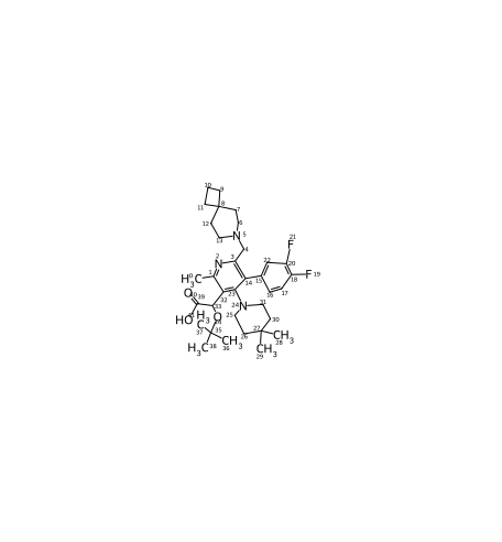 Cc1nc(CN2CCC3(CCC3)CC2)c(-c2ccc(F)c(F)c2)c(N2CCC(C)(C)CC2)c1C(OC(C)(C)C)C(=O)O